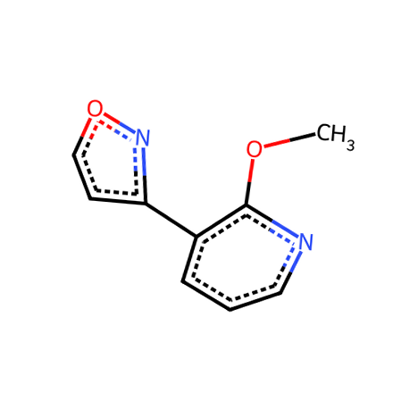 COc1ncccc1-c1ccon1